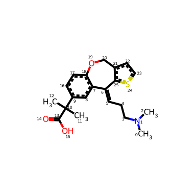 CN(C)CC/C=C1/c2cc(C(C)(C)C(=O)O)ccc2OCc2ccsc21